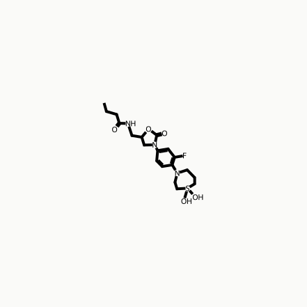 CCCC(=O)NCC1CN(c2ccc(N3CCCS(O)(O)CC3)c(F)c2)C(=O)O1